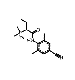 CCC(C(=O)Nc1c(C)cc(C#N)cc1C)[PH](C)(C)C